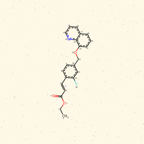 CCOC(=O)/C=C/c1ccc(COc2cccc3cccnc23)cc1F